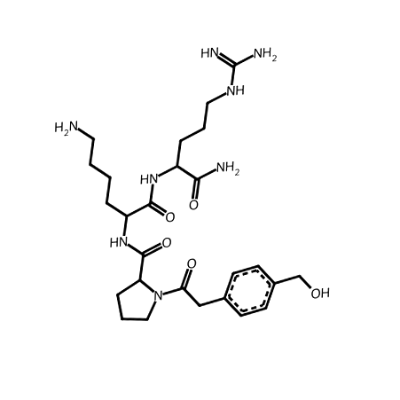 N=C(N)NCCCC(NC(=O)C(CCCCN)NC(=O)C1CCCN1C(=O)Cc1ccc(CO)cc1)C(N)=O